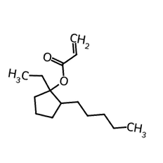 C=CC(=O)OC1(CC)CCCC1CCCCC